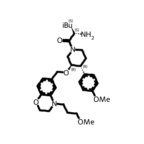 CC[C@H](C)[C@H](N)C(=O)N1CC[C@H](c2ccc(OC)cc2)[C@@H](OCc2ccc3c(c2)N(CCCOC)CCO3)C1